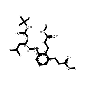 COC(=O)CCc1cccc(NC[C@H](CC(C)C)NC(=O)OC(C)(C)C)c1CCC(=O)OC